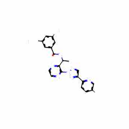 CC(NC(=O)c1cc(C(F)(F)F)cc(C(F)(F)F)c1)c1nccnc1-n1ncc(-c2ccc(Br)cn2)n1